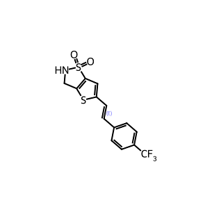 O=S1(=O)NCc2sc(/C=C/c3ccc(C(F)(F)F)cc3)cc21